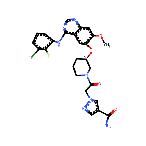 COc1cc2ncnc(Nc3cccc(Cl)c3F)c2cc1O[C@@H]1CCCN(C(=O)Cn2cc(C(N)=O)cn2)C1